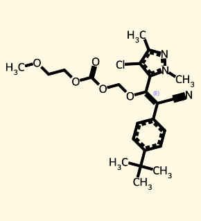 COCCOC(=O)OCO/C(=C(/C#N)c1ccc(C(C)(C)C)cc1)c1c(Cl)c(C)nn1C